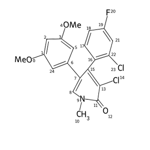 COc1cc(OC)cc(-c2cn(C)c(=O)c(Cl)c2-c2ccc(F)cc2Cl)c1